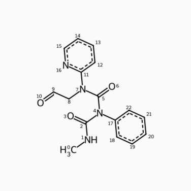 CNC(=O)N(C(=O)N(C[C]=O)c1ccccn1)c1ccccc1